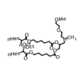 CCCCCCCCC(CCCCCC)C(=O)OCCCCCC(=O)OCC(CN(C)CCOCCOC)OC(=O)CCCCCOC(=O)C(CCCCCC)CCCCCCCC